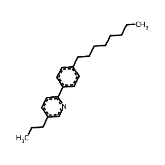 CCCCCCCCc1ccc(-c2ccc(CCC)cn2)cc1